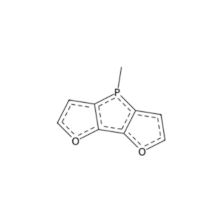 Cp1c2ccoc2c2occc21